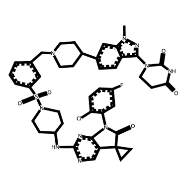 Cn1nc(N2CCC(=O)NC2=O)c2ccc(C3CCN(Cc4cccc(S(=O)(=O)N5CCC(Nc6ncc7c(n6)N(c6cc(F)ccc6Cl)C(=O)C76CC6)CC5)c4)CC3)cc21